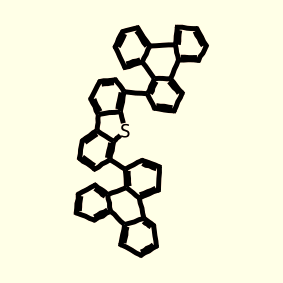 c1cc(-c2cccc3c4ccccc4c4ccccc4c23)c2sc3c(-c4cccc5c6ccccc6c6ccccc6c45)cccc3c2c1